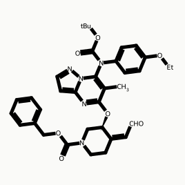 CCOc1ccc(N(C(=O)OC(C)(C)C)c2c(C)c(O[C@@H]3CN(C(=O)OCc4ccccc4)CC/C3=C/C=O)nc3ccnn23)cc1